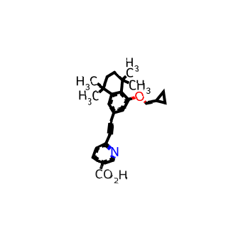 CC1(C)CCC(C)(C)c2c(OCC3CC3)cc(C#Cc3ccc(C(=O)O)cn3)cc21